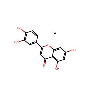 O=c1cc(-c2ccc(O)c(O)c2)oc2cc(O)cc(O)c12.[Ca]